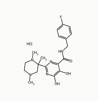 CN1CCN(C)C(C)(c2nc(O)c(O)c(C(=O)NCc3ccc(F)cc3)n2)C1.Cl